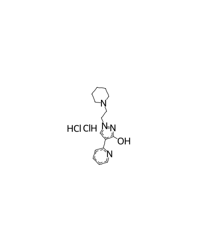 Cl.Cl.Oc1nn(CCN2CCCCC2)cc1-c1ccccn1